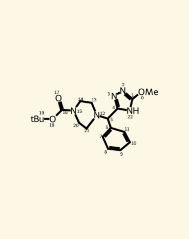 COc1nnc(C(c2ccccc2)N2CCN(C(=O)OC(C)(C)C)CC2)[nH]1